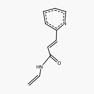 C=CNC(=O)C=Cc1ccccn1